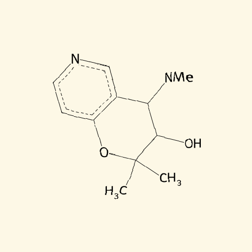 CNC1c2cnccc2OC(C)(C)C1O